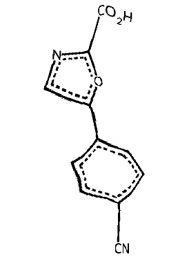 N#Cc1ccc(-c2cnc(C(=O)O)o2)cc1